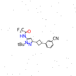 CC(C)(C)n1nc(C2CC(c3cccc(C#N)c3)C2)cc1NC(=O)C(F)(F)F